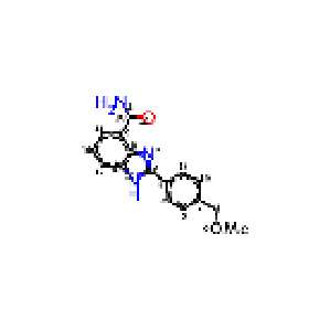 COCc1ccc(-c2nc3c(C(N)=O)cccc3[nH]2)cc1